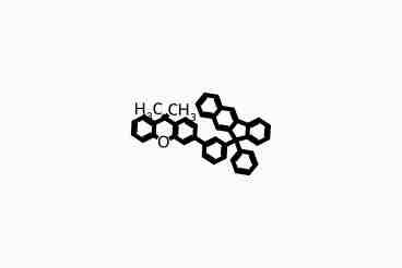 CC1(C)c2ccccc2Oc2cc(-c3cccc(C4(c5ccccc5)c5ccccc5-c5cc6ccccc6cc54)c3)ccc21